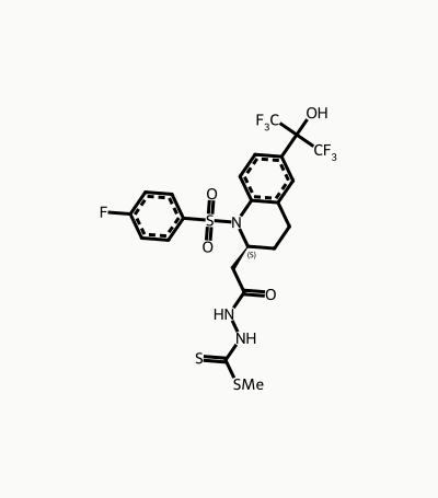 CSC(=S)NNC(=O)C[C@@H]1CCc2cc(C(O)(C(F)(F)F)C(F)(F)F)ccc2N1S(=O)(=O)c1ccc(F)cc1